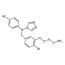 N#Cc1ccc(N(Cc2ccc(Br)c(OSOON)c2)n2cnnc2)cc1